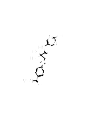 CNC(=O)c1ccc(S(=O)(=O)C[C@](C)(O)C(=O)Nc2cnc(C)nc2)cc1